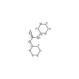 O=C(SC1CCCCC1)SC1CCCCC1